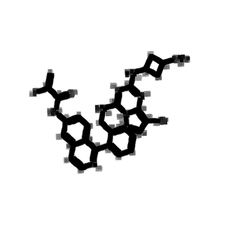 C=C(F)C(=O)Nc1ccc2c(-c3ccccc3CNc3nc(NC4CC(OC)C4)nc4c(C(C)C)cnn34)nccc2c1